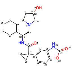 O=C(N[C@H](CN1CC[C@H](O)C1)C1CCCCC1)C1(c2ccc3oc(=O)[nH]c3c2)CC1